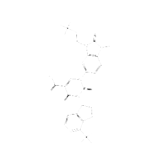 Cn1c(=O)n(CCC(F)(F)F)c2cc(-n3cc(C(=O)O)c(=O)n([C@@H]4CCc5c4cccc5C(F)(F)F)c3=O)ccc21